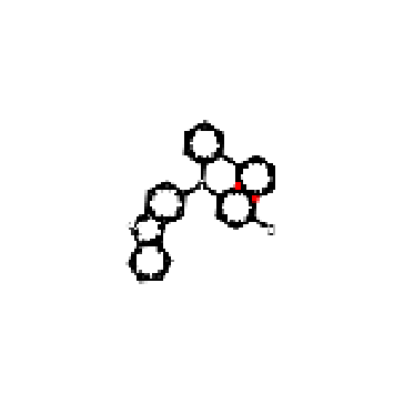 Clc1ccc(N(c2ccc3oc4ccccc4c3c2)c2ccccc2-c2ccccc2)cc1